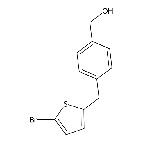 OCc1ccc(Cc2ccc(Br)s2)cc1